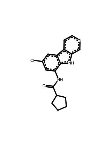 O=C(Nc1cc(Cl)cc2c1[nH]c1cnccc12)C1CCCC1